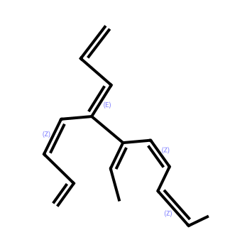 C=C/C=C\C(=C/C=C)C(=CC)/C=C\C=C/C